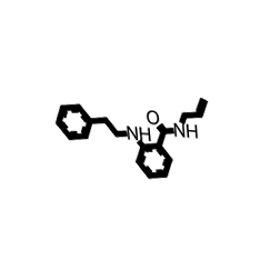 C=CCNC(=O)c1ccccc1NCCc1ccccc1